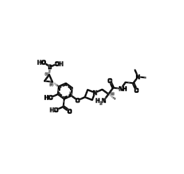 CN(C)C(=O)CNC(=O)[C@@](C)(N)CN1CC(Oc2ccc([C@@H]3C[C@@H]3B(O)O)c(O)c2C(=O)O)C1